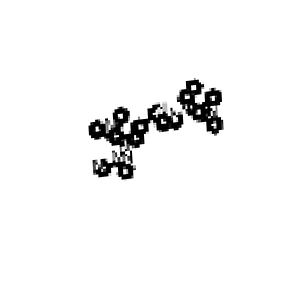 c1cncc(-c2nc(-n3c4ccc5cc(-c6ccnc7c6ccc6ccc(-n8c9ccc%10ccccc%10c9c9c%10c%11ccccc%11n%11c%12ccccc%12c(cc98)c%10%11)nc67)ccc5c4c4c5c6ccccc6n6c7ccccc7c(cc43)c56)nc3ccccc23)c1